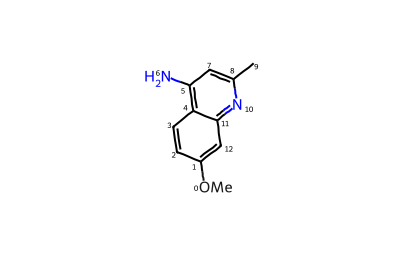 COc1ccc2c(N)cc(C)nc2c1